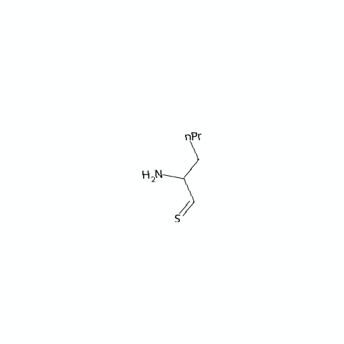 CCCCC(N)C=S